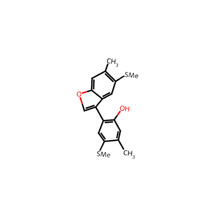 CSc1cc(-c2coc3cc(C)c(SC)cc23)c(O)cc1C